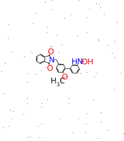 COc1ccc(CN2C(=O)c3ccccc3C2=O)cc1-c1cccc(NO)c1